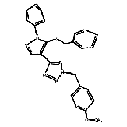 COc1ccc(Cn2nnc(-c3cnn(-c4ccccc4)c3SCc3ccccc3)n2)cc1